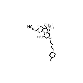 C#CCN1CCC2=C(C1)c1c(O)cc(CCCCCc3ccc(F)cc3)cc1OC2(C)C